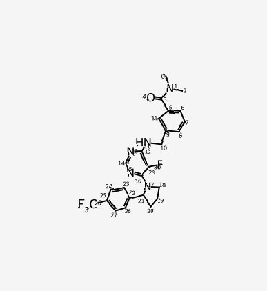 CN(C)C(=O)c1cccc(CNc2ncnc(N3CCCC3c3ccc(C(F)(F)F)cc3)c2F)c1